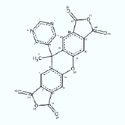 CC1(c2cncnc2)c2cc3c(cc2Oc2cc4c(cc21)C(=O)OC4=O)C(=O)OC3=O